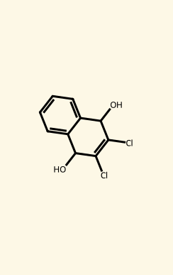 OC1C(Cl)=C(Cl)C(O)c2ccccc21